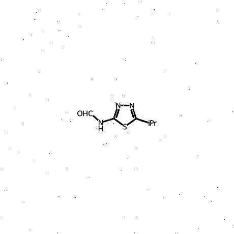 CC(C)c1nnc(NC=O)s1